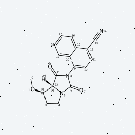 CO[C@@H]1CCN2C(=O)N(c3ccc(C#N)c4ccccc34)C(=O)[C@@H]12